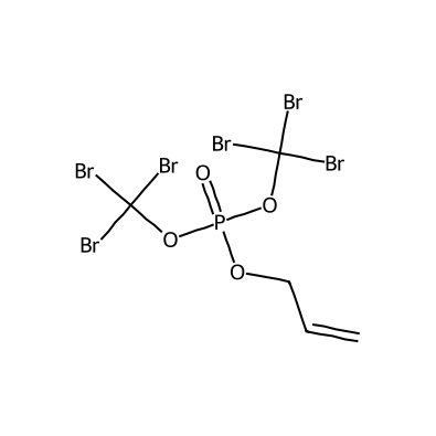 C=CCOP(=O)(OC(Br)(Br)Br)OC(Br)(Br)Br